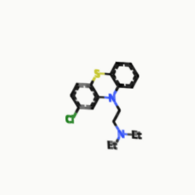 CCN(CC)CCN1c2ccccc2Sc2ccc(Cl)cc21